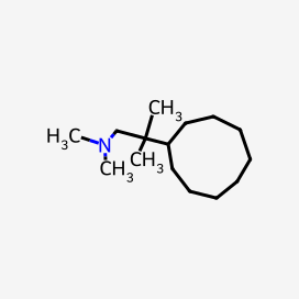 CN(C)CC(C)(C)C1CCCCCCCC1